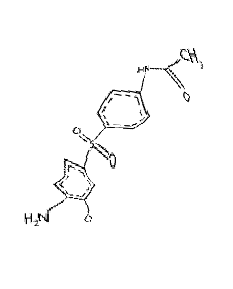 CC(=O)Nc1ccc(S(=O)(=O)c2ccc(N)c(Cl)c2)cc1